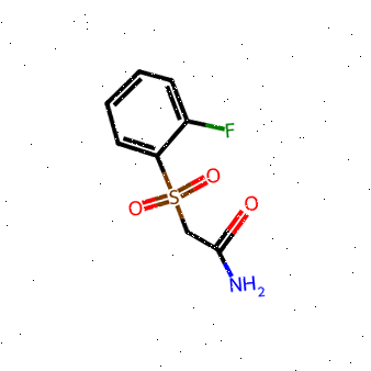 NC(=O)CS(=O)(=O)c1ccccc1F